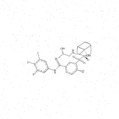 CC(O)CNC[C@]1(O)C2CC1C[C@@H](S(=O)(=O)c1cc(C(=O)Nc3cc(F)c(F)c(F)c3)ccc1Cl)C2